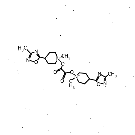 Cc1noc(C2CC[N+](C)(OC(=O)C(=O)O[N+]3(C)CCC(c4nc(C)no4)CC3)CC2)n1